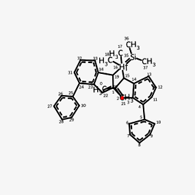 CC1=Cc2c(-c3ccccc3)cccc2[CH]1[Hf]([CH3])([CH3])([CH]1C(C)=Cc2c(-c3ccccc3)cccc21)=[Si](C)C